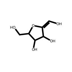 O/C=C1/OC(CO)C(O)C1O